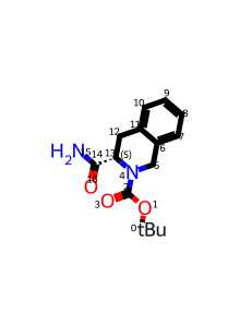 CC(C)(C)OC(=O)N1Cc2ccccc2C[C@H]1C(N)=O